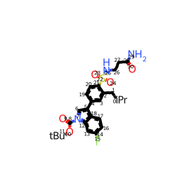 CC(C)Cc1cc(-c2cn(C(=O)OC(C)(C)C)c3cc(F)ccc23)ccc1S(=O)(=O)NCCC(N)=O